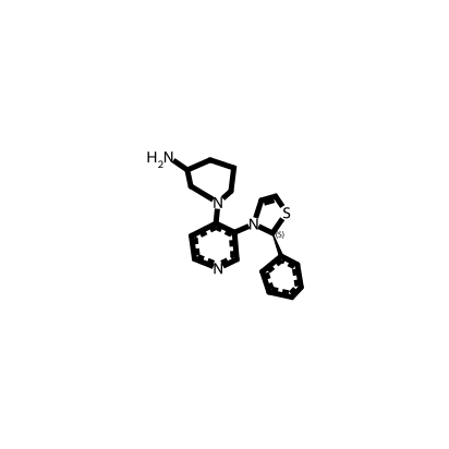 NC1CCCN(c2ccncc2N2C=CS[C@H]2c2ccccc2)C1